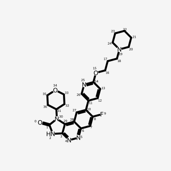 O=c1[nH]c2nnc3cc(F)c(-c4ccc(OCCCN5CCCCC5)nc4)cc3c2n1C1CCOCC1